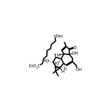 CC1=C[C@H]2[C@]3(O)[C@H](C)[C@@H](O)[C@@]4(O)[C@H]([C@@H]3C=C(CO)C[C@@]2(O)C1=O)C4(C)C.CCCCCCCCCCCCCCCCCC(=O)OCC